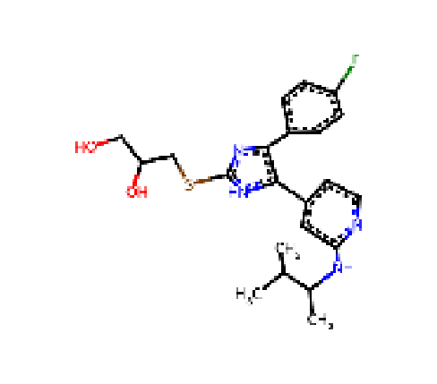 CC(C)C(C)Nc1cc(-c2[nH]c(SCC(O)CO)nc2-c2ccc(F)cc2)ccn1